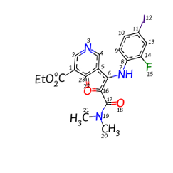 CCOC(=O)c1cncc2c(Nc3ccc(I)cc3F)c(C(=O)N(C)C)oc12